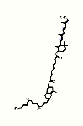 CC1=C(/C=C/C(C)=C/C=C/C(C)=C/C=O)C(C)(C)CCC1OC(=O)CCCCCCCC(=O)Oc1cc(C)c2c(c1)CC[C@](C)(CCC[C@@H](C)CCC[C@@H](C)CCCC(C)C)O2